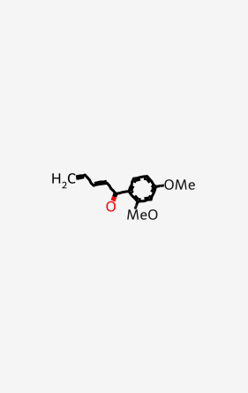 C=CC=CC(=O)c1ccc(OC)cc1OC